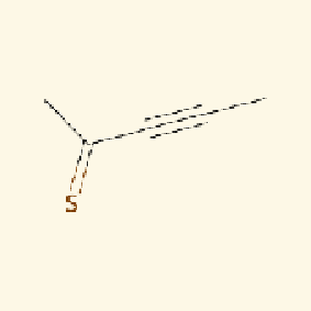 CC#CC(C)=S